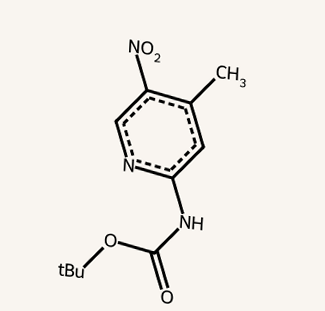 Cc1cc(NC(=O)OC(C)(C)C)ncc1[N+](=O)[O-]